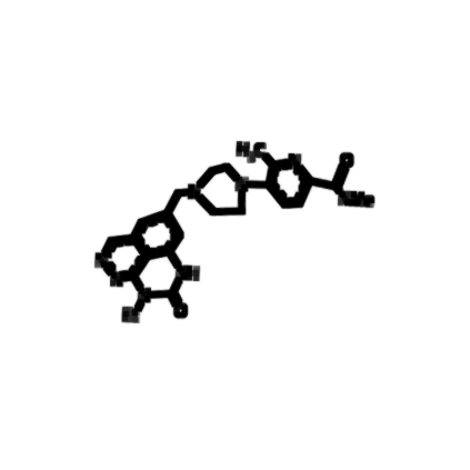 CCN1C(=O)Nc2cc(CN3CCN(c4ccc(C(=O)NC)nc4C)CC3)cc3cnnc1c23